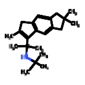 CC1=C([Si](C)(C)NC(C)(C)C)c2cc3c(cc2C1)CC(C)(C)C3